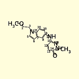 COCCn1ccc2cc(Nc3ccc(=O)n(C)n3)ccc21